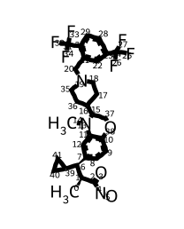 C[C@H](C(=O)N=O)[C@H](c1ccc2c(c1)N(C)C(C1CCN(Cc3cc(C(F)(F)F)ccc3C(F)(F)F)CC1)CO2)C1CC1